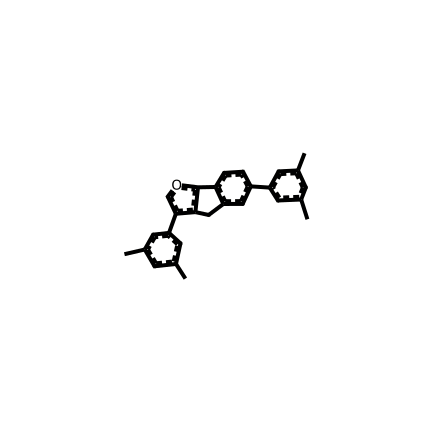 Cc1cc(C)cc(-c2ccc3c(c2)Cc2c(-c4cc(C)cc(C)c4)coc2-3)c1